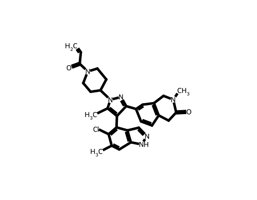 C=CC(=O)N1CCC(n2nc(-c3ccc4c(c3)CN(C)C(=O)C4)c(-c3c(Cl)c(C)cc4[nH]ncc34)c2C)CC1